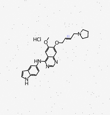 COc1cc2c(Nc3ccc4[nH]ccc4c3)ncnc2cc1OC/C=C/CN1CCCC1.Cl